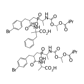 CC(OC(=O)NC(C)P(=O)(O)CC(Cc1ccc(Br)cc1)C(=O)NC(C)(Cc1ccccc1)C(=O)O)OC(=O)C(C)C.CC(OC(=O)NC(C)P(=O)(O)CC(Cc1ccc(Br)cc1)C(=O)NC(C)C(=O)O)OC(=O)C(C)C